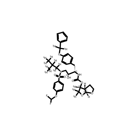 [2H]C([2H])(Oc1ccc(C[C@H](NC(=O)O[C@]2([2H])[C@@H]3CCO[C@@H]3OC2([2H])[2H])[C@H](O)CN(C([2H])([2H])C([2H])(C([2H])([2H])[2H])C([2H])([2H])[2H])S(=O)(=O)c2ccc(OC(F)F)cc2)cc1)c1ccccc1